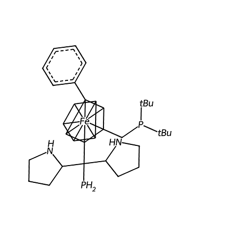 CC(C)(C)P(C[C]12[CH]3[C]4(c5ccccc5)[CH]5[C]1(C(P)(C1CCCN1)C1CCCN1)[Fe]35421678[CH]2[CH]1[CH]6[CH]7[CH]28)C(C)(C)C